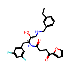 CCc1cccc(CNC[C@H](O)[C@H](Cc2cc(F)cc(F)c2)NC(=O)CCC(=O)c2ccco2)c1